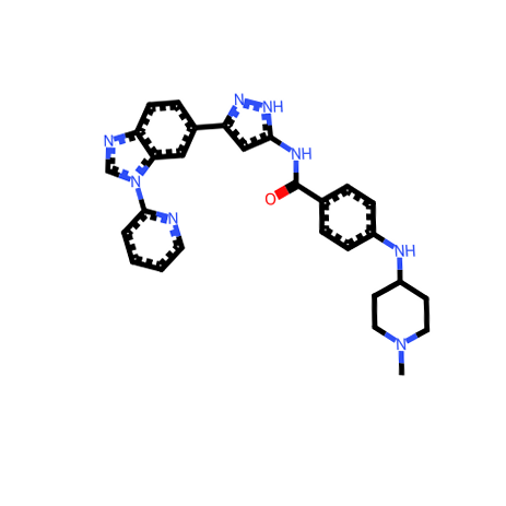 CN1CCC(Nc2ccc(C(=O)Nc3cc(-c4ccc5ncn(-c6ccccn6)c5c4)n[nH]3)cc2)CC1